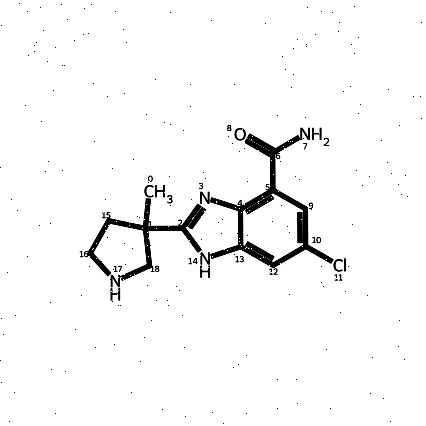 CC1(c2nc3c(C(N)=O)cc(Cl)cc3[nH]2)CCNC1